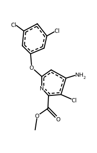 COC(=O)c1nc(Oc2cc(Cl)cc(Cl)c2)cc(N)c1Cl